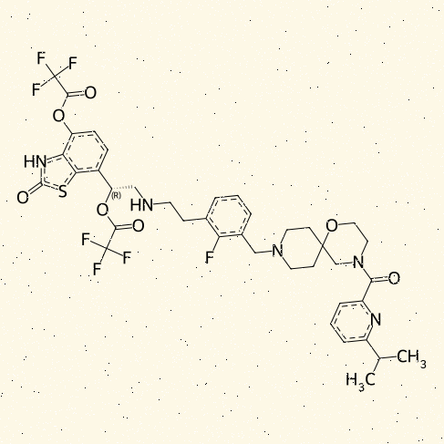 CC(C)c1cccc(C(=O)N2CCOC3(CCN(Cc4cccc(CCNC[C@H](OC(=O)C(F)(F)F)c5ccc(OC(=O)C(F)(F)F)c6[nH]c(=O)sc56)c4F)CC3)C2)n1